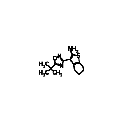 CC(C)(C)c1nc(-c2c(N)sc3c2CCCC3)no1